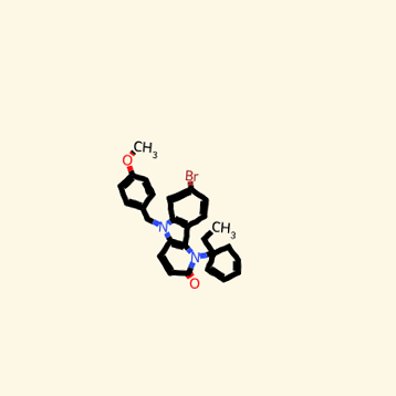 CCC1(n2c(=O)ccc3c2c2ccc(Br)cc2n3Cc2ccc(OC)cc2)C=CC=CC1